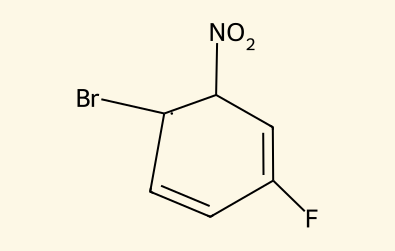 O=[N+]([O-])C1C=C(F)C=C[C]1Br